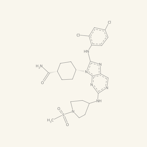 CS(=O)(=O)N1CCC(Nc2ncc3nc(Nc4ccc(Cl)cc4Cl)n([C@H]4CC[C@@H](C(N)=O)CC4)c3n2)CC1